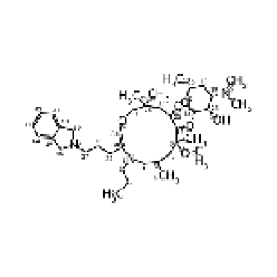 CCCN1C[C@H](C)C[C@@](C)(OC)[C@H](O[C@@H]2O[C@H](C)C[C@H](N(C)C)[C@H]2O)[C@H](C)CC(C)(C)COC=C1CCCN1Cc2ccccc2C1